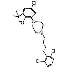 CC1(C)COc2c(N3CCN(CCCSc4c(Cl)cccc4Cl)CC3)cc(Cl)cc21